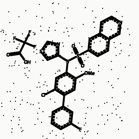 COc1cc(-c2cccc(F)c2)c(Cl)cc1N(c1cscn1)S(=O)(=O)c1ccc2cnccc2c1.O=C(O)C(F)(F)F